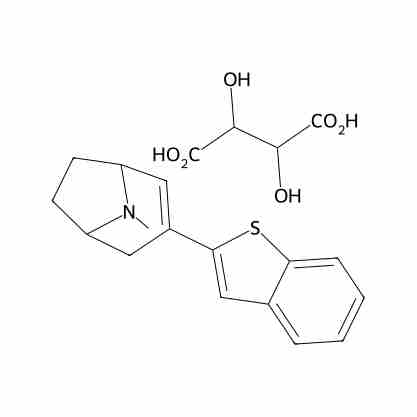 CN1C2C=C(c3cc4ccccc4s3)CC1CC2.O=C(O)C(O)C(O)C(=O)O